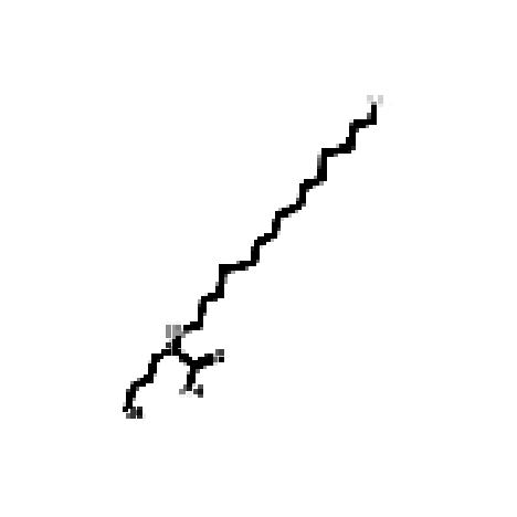 CCCCCCCCCCCCCCCCN[C@H](CCCN)C(=O)O